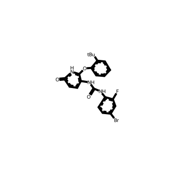 CC(C)(C)c1ccccc1Oc1[nH]c(=O)ccc1NC(=O)Nc1ccc(Br)cc1F